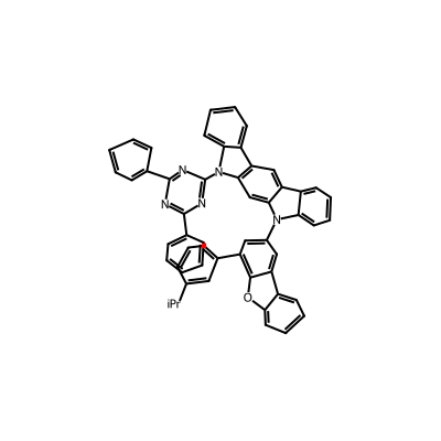 CC(C)c1cccc(-c2cc(-n3c4ccccc4c4cc5c6ccccc6n(-c6nc(-c7ccccc7)nc(-c7ccccc7)n6)c5cc43)cc3c2oc2ccccc23)c1